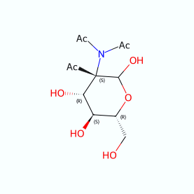 CC(=O)N(C(C)=O)[C@]1(C(C)=O)C(O)O[C@H](CO)[C@@H](O)[C@@H]1O